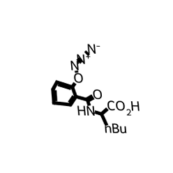 CCCCC(NC(=O)c1ccccc1ON=[N+]=[N-])C(=O)O